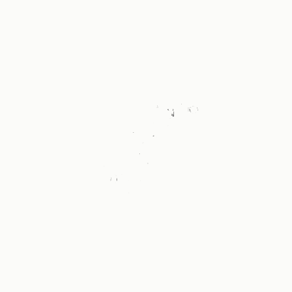 COc1cc([C@@H]2CCC3(C2)CN(C=O)C3)ccc1C